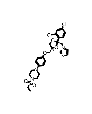 CCS(=O)(=O)N1CCN(c2ccc(OC[C@H]3CO[C@](Cn4ccnc4)(c4ccc(Cl)cc4Cl)O3)cc2)CC1